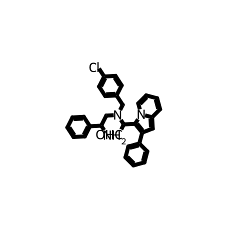 NC(CN(Cc1ccc(Cl)cc1)C(C=O)c1c(-c2ccccc2)cc2ccccn12)c1ccccc1